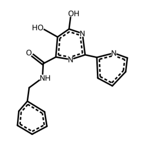 O=C(NCc1ccccc1)c1nc(-c2ccccn2)nc(O)c1O